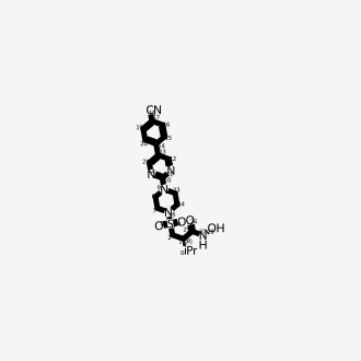 CC(C)[C@@H](CS(=O)(=O)N1CCN(c2ncc(-c3ccc(C#N)cc3)cn2)CC1)C(=O)NO